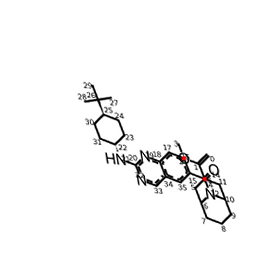 C=C(OC)C1CC2CCCC(C1)N2C(=O)c1ccc2nc(N[C@H]3CC[C@H](C(C)(C)C)CC3)ncc2c1